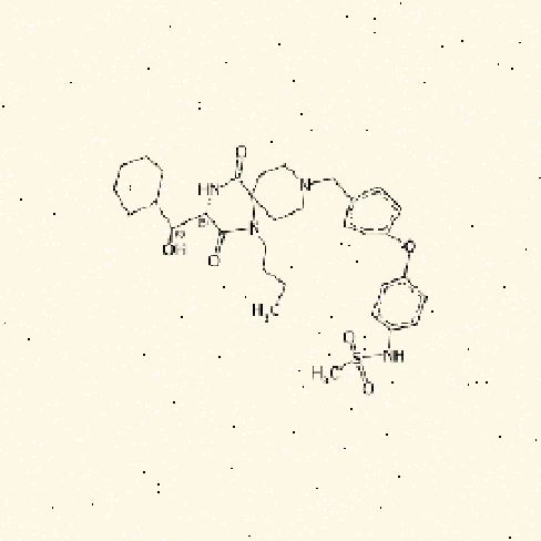 CCCCN1C(=O)[C@H]([C@@H](O)C2CCCCC2)NC(=O)C12CCN(Cc1ccc(Oc3ccc(NS(C)(=O)=O)cc3)cc1)CC2